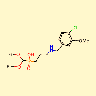 CCOC(OCC)P(=O)(O)CCCNCc1ccc(Cl)c(OC)c1